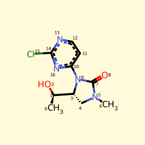 C[C@@H](O)[C@H]1CN(C)C(=O)N1c1ccnc(Cl)n1